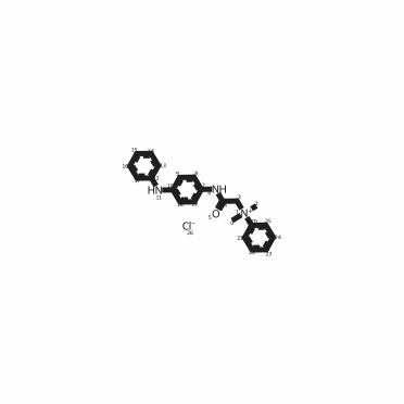 C[N+](C)(CC(=O)Nc1ccc(Nc2ccccc2)cc1)c1ccccc1.[Cl-]